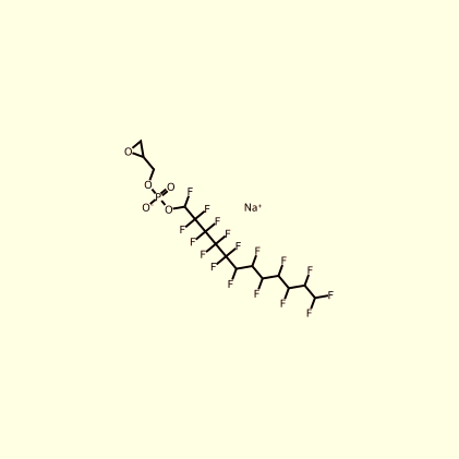 O=P([O-])(OCC1CO1)OC(F)C(F)(F)C(F)(F)C(F)(F)C(F)(F)C(F)C(F)C(F)C(F)C(F)C(F)C(F)F.[Na+]